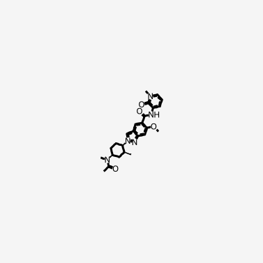 COc1cc2nn([C@@H]3CC[C@H](N(C)C(C)=O)C[C@@H]3C)cc2cc1C(=O)Nc1cccn(C)c1=O